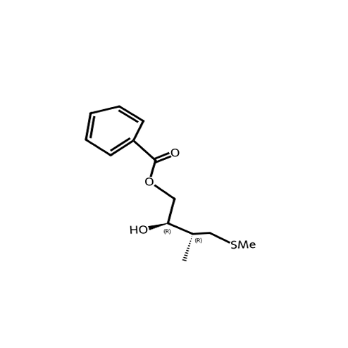 CSC[C@H](C)[C@@H](O)COC(=O)c1ccccc1